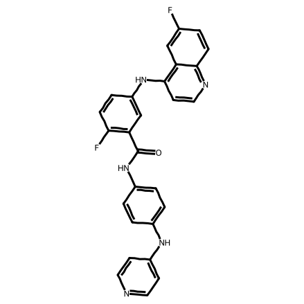 O=C(Nc1ccc(Nc2ccncc2)cc1)c1cc(Nc2ccnc3ccc(F)cc23)ccc1F